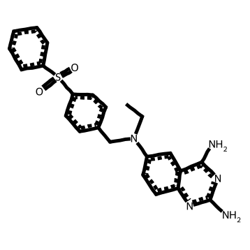 CCN(Cc1ccc(S(=O)(=O)c2ccccc2)cc1)c1ccc2nc(N)nc(N)c2c1